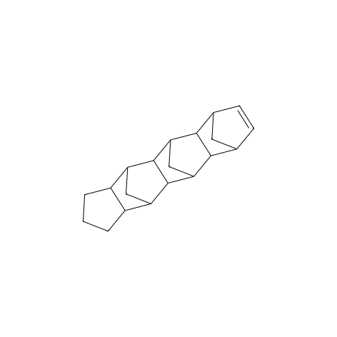 C1=CC2CC1C1C3CC(C21)C1C2CC(C4CCCC42)C31